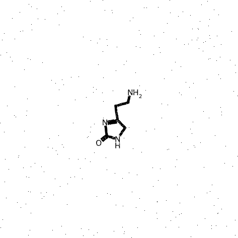 NCCC1=NC(=O)NC1